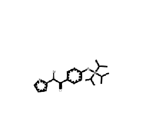 CC(C)[Si](Oc1ccc(C(=O)C(Br)c2cccs2)cc1)(C(C)C)C(C)C